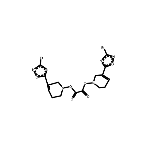 CCc1noc(C2=CCCN(OC(=O)C(=O)ON3CCC=C(c4nc(CC)no4)C3)C2)n1